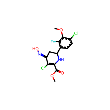 COC(=O)C1=C(Cl)/C(=N/O)CC(c2ccc(Cl)c(OC)c2F)N1